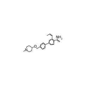 C=C(N)c1ccc(-c2ccc(COC3CCN(C)CC3)cc2)cc1/C=C\C